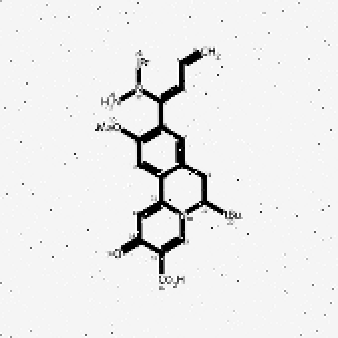 C=C/C=C(/c1cc2c(cc1OC)-c1cc(=O)c(C(=O)O)cn1C(C(C)(C)C)C2)N(N)C(C)C